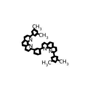 Cc1cc(C)cc(-c2ccc3ccc4ccc(-c5cccc(-c6ccc7ccc8ccc(-c9cc(C)cc(C)c9)nc8c7n6)c5)nc4c3n2)c1